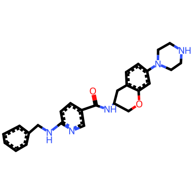 O=C(N[C@H]1COc2cc(N3CCNCC3)ccc2C1)c1ccc(NCc2ccccc2)nc1